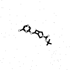 CC(C)(C)OC(=O)N1CC2CC(Oc3cncc(Cl)n3)C2C1